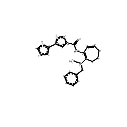 NN(Cc1ccccc1)C1=C(NC(=O)c2cc(-c3cncs3)on2)C=CCCC1